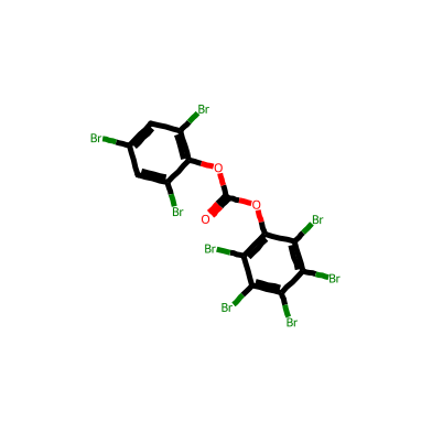 O=C(Oc1c(Br)cc(Br)cc1Br)Oc1c(Br)c(Br)c(Br)c(Br)c1Br